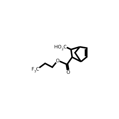 O=C(O)C1C2C=CC(C2)C1C(=O)OCCC(F)(F)F